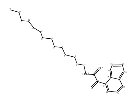 C=C(C(=O)NCCCCCCCCCCCCCC)c1cccc2ccccc12